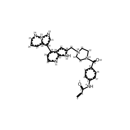 C=CC(=O)Nc1ccc(C(=O)N2CCN(Cc3cc4c(-c5cnn6ncccc56)ccnc4[nH]3)CC2)cc1